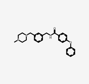 CN1CCN(Cc2cccc(CNC(=O)c3ccc(Oc4ccccc4)cc3)c2)CC1